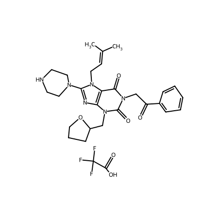 CC(C)=CCn1c(N2CCNCC2)nc2c1c(=O)n(CC(=O)c1ccccc1)c(=O)n2CC1CCCO1.O=C(O)C(F)(F)F